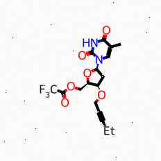 CCC#CCO[C@H]1C[C@H](n2cc(C)c(=O)[nH]c2=O)O[C@@H]1COC(=O)C(F)(F)F